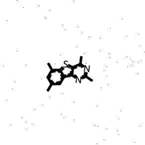 Cc1cc(C)c2sc3c(C)nc(C)nc3c2c1